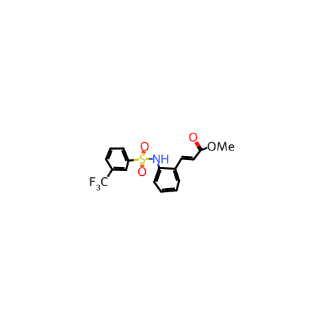 COC(=O)/C=C/c1ccccc1NS(=O)(=O)c1cccc(C(F)(F)F)c1